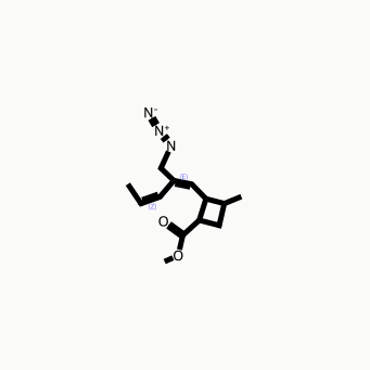 C/C=C\C(=C/C1C(C)CC1C(=O)OC)CN=[N+]=[N-]